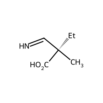 CC[C@@](C)(C=N)C(=O)O